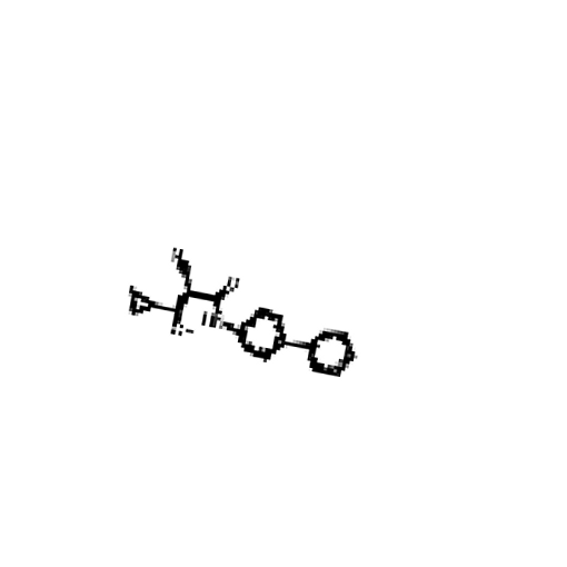 N#CC(C(=O)Nc1ccc(-c2ccccc2)cc1)=C(O)C1CC1